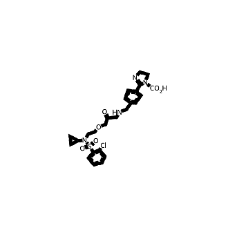 O=C(CNCc1ccc(C2=NCCN2C(=O)O)cc1)COCCN(C1CC1)S(=O)(=O)c1ccccc1Cl